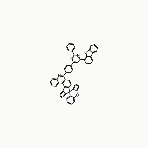 c1ccc(-c2nc(-c3ccc(-c4nc5ccccc5c5c6c(ccc45)C4(c5ccccc5Oc5ccccc54)c4ccccc4-6)cc3)cc(-c3cccc4c3oc3ccccc34)n2)cc1